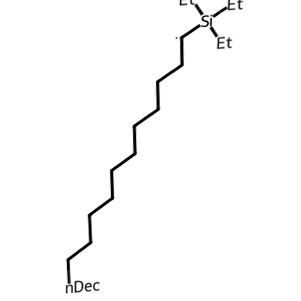 CCCCCCCCCCCCCCCCCCCC[CH][Si](CC)(CC)CC